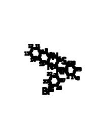 Cc1ccc(Sc2nc3cc4ccccc4cc3nc2Nc2ccc(Br)cc2)cc1